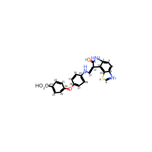 O=C1Nc2ccc3ncsc3c2C1=CNc1ccc(Oc2ccc(C(=O)O)cc2)cc1